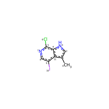 Cc1c[nH]c2c(Cl)ncc(I)c12